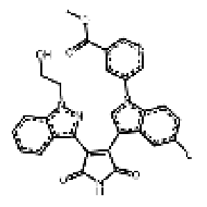 COC(=O)c1cncc(-n2cc(C3=C(c4nn(CCO)c5ccccc45)C(=O)NC3=O)c3cc(Cl)ccc32)c1